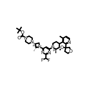 COC1(c2nccc(C)c2C2CCN(c3cc(N4C[C@@H](N5CCN(C(=O)OC(C)(C)C)CC5)[C@H]4C)nc(C(F)F)n3)[C@H](C)C2)CCOC1